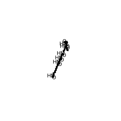 CCC(=O)[C@H](CCCCNC(=O)CCNC(=O)CCNC(=O)CCCCCCCCCCNC(C)=O)NC(=O)C1CCC(=O)N1